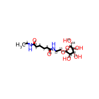 CCNC(=O)CCCCC(=O)NCCO[C@@H]1O[C@H](CO)[C@@H](O)[C@H](O)[C@@H]1O